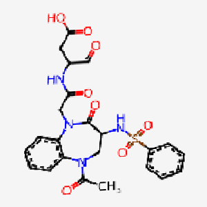 CC(=O)N1CC(NS(=O)(=O)c2ccccc2)C(=O)N(CC(=O)NC(C=O)CC(=O)O)c2ccccc21